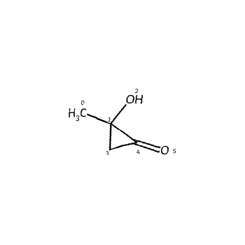 CC1(O)CC1=O